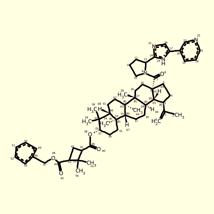 C=C(C)[C@@H]1CC[C@]2(C(=O)N3CCCC3c3ncc(-c4cccnc4)[nH]3)CC[C@]3(C)[C@H](CC[C@@H]4[C@@]5(C)CC[C@H](OC(=O)C6CC(C(=O)OCc7ccccc7)C6(C)C)C(C)(C)[C@@H]5CC[C@]43C)[C@@H]12